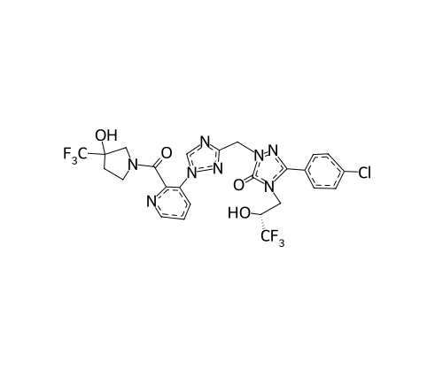 O=C(c1ncccc1-n1cnc(Cn2nc(-c3ccc(Cl)cc3)n(C[C@@H](O)C(F)(F)F)c2=O)n1)N1CCC(O)(C(F)(F)F)C1